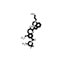 COc1cc(C(=O)N2C[C@H](N)CC(F)(F)C2)cc2c1CCC(C)C(c1cc3cccc4c3n1CCN4CCCO)=N2